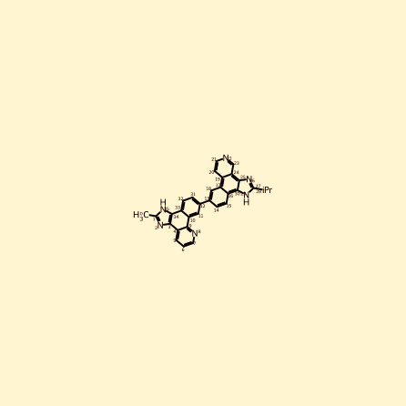 Cc1nc2c3cccnc3c3cc(-c4ccc5c(c4)c4ccncc4c4nc(C(C)C)[nH]c54)ccc3c2[nH]1